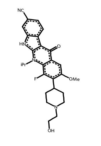 COc1cc2c(=O)c3c4ccc(C#N)cc4[nH]c3n(C(C)C)c2c(F)c1C1CCN(CCO)CC1